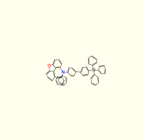 c1ccc(-c2cccc3oc4cccc(N(c5ccccc5)c5ccc(-c6ccc([Si](c7ccccc7)(c7ccccc7)c7ccccc7)cc6)cc5)c4c23)cc1